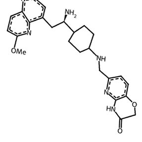 COc1ccc2nccc(C[C@@H](N)C3CCC(NCc4ccc5c(n4)NC(=O)CO5)CC3)c2n1